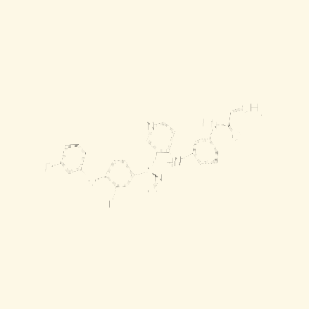 C=CC(=O)Nc1cccc(Nc2ccncc2N(N=O)c2ccc(Oc3cccc(F)c3)c(F)c2)c1